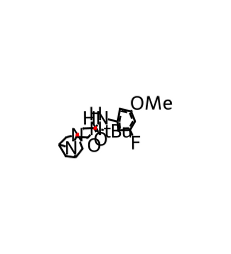 COc1cc(F)cc(NC(=O)CN2CC3CC(C2)N3CC(=O)NC(C)(C)C)c1